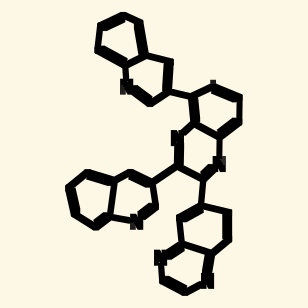 [c]1ccc2nc(-c3ccc4nccnc4c3)c(-c3cnc4ccccc4c3)nc2c1-c1cnc2ccccc2c1